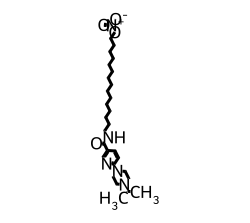 CC(C)N1CCN(c2ccc(C(=O)NCCCCCCCCCCCCCCCO[N+](=O)[O-])cn2)CC1